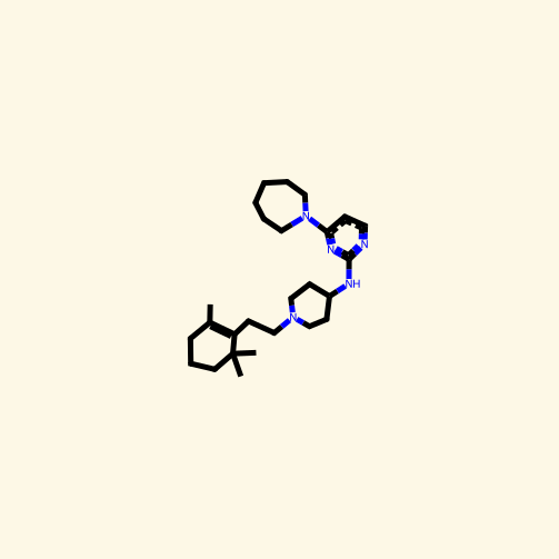 CC1=C(CCN2CCC(Nc3nccc(N4CCCCCC4)n3)CC2)C(C)(C)CCC1